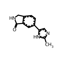 Cc1ncc(-c2ccc3c(c2)C(=O)NC3)[nH]1